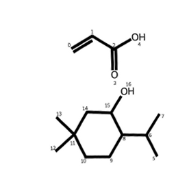 C=CC(=O)O.CC(C)C1CCC(C)(C)CC1O